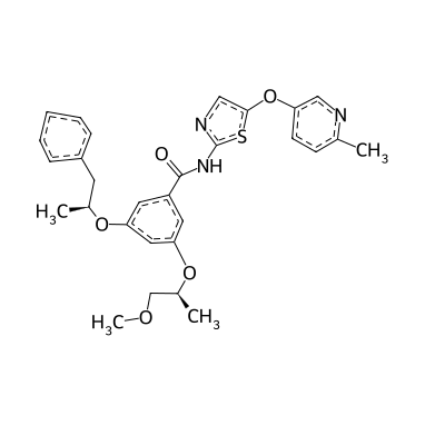 COC[C@H](C)Oc1cc(O[C@@H](C)Cc2ccccc2)cc(C(=O)Nc2ncc(Oc3ccc(C)nc3)s2)c1